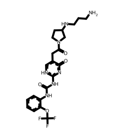 NCCCNC1CCN(C(=O)Cc2c[nH]c(NC(=O)Nc3ccccc3OC(F)(F)F)nc2=O)C1